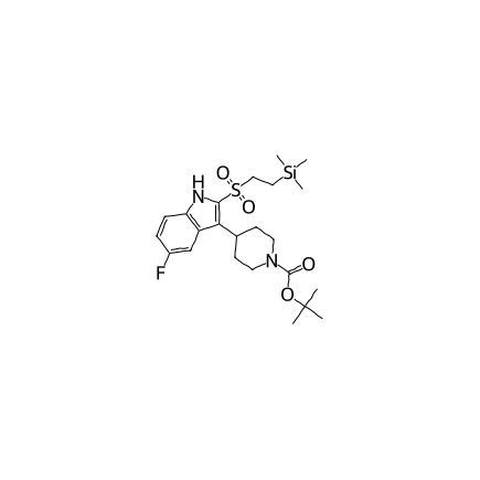 CC(C)(C)OC(=O)N1CCC(c2c(S(=O)(=O)CC[Si](C)(C)C)[nH]c3ccc(F)cc23)CC1